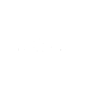 CCOC(=O)c1ccc(CCCCC=O)cc1